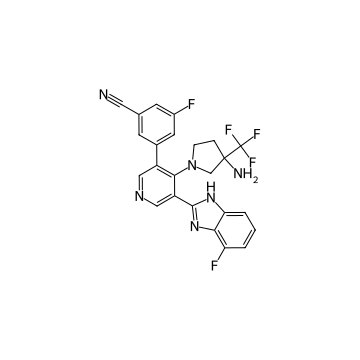 N#Cc1cc(F)cc(-c2cncc(-c3nc4c(F)cccc4[nH]3)c2N2CCC(N)(C(F)(F)F)C2)c1